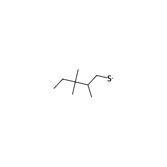 CCC(C)(C)C(C)C[S]